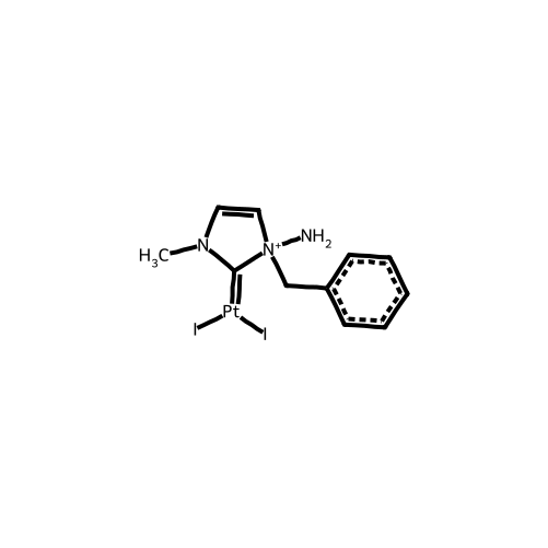 CN1C=C[N+](N)(Cc2ccccc2)[C]1=[Pt]([I])[I]